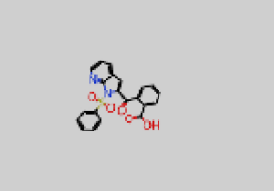 O=C(O)c1ccccc1C(=O)c1cc2cccnc2n1S(=O)(=O)c1ccccc1